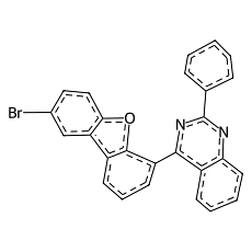 Brc1ccc2oc3c(-c4nc(-c5ccccc5)nc5ccccc45)cccc3c2c1